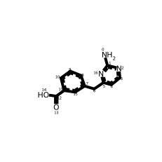 Nc1nccc(Cc2cccc(C(=O)O)c2)n1